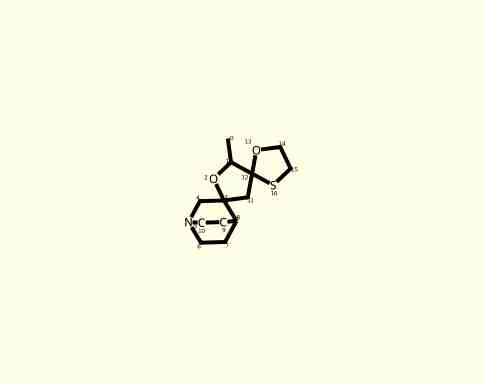 CC1OC2(CN3CCC2CC3)CC12OCCS2